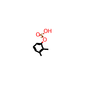 Cc1cccc(OS(=O)O)c1C